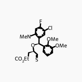 CCOC(=O)C[C@H](C=S)O[C@@H](c1cc(Cl)c(F)cc1NC)c1cccc(OC)c1OC